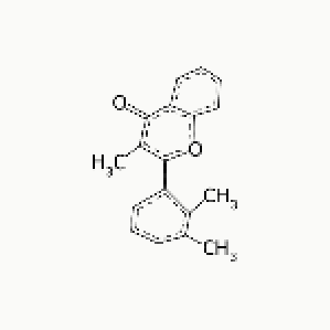 Cc1cccc(-c2oc3ccccc3c(=O)c2C)c1C